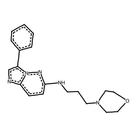 c1ccc(-c2cnc3ccc(NCCCN4CCOCC4)nn23)cc1